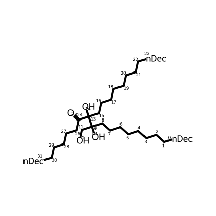 CCCCCCCCCCCCCCCCCCC(O)(CO)C(O)(CCCCCCCCCCCCCCCCCC)C(=O)CCCCCCCCCCCCCCC